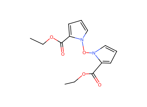 CCOC(=O)c1cccn1On1cccc1C(=O)OCC